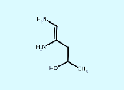 CC(O)CC(N)=CN